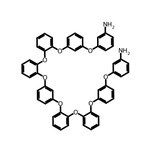 Nc1cccc(Oc2cccc(Oc3ccccc3Oc3ccccc3Oc3cccc(Oc4ccccc4Oc4ccccc4Oc4cccc(Oc5cccc(N)c5)c4)c3)c2)c1